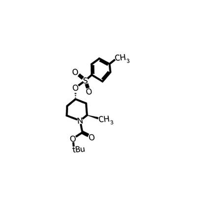 Cc1ccc(S(=O)(=O)O[C@H]2CCN(C(=O)OC(C)(C)C)[C@H](C)C2)cc1